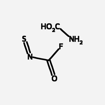 NC(=O)O.O=C(F)N=S